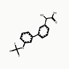 O=C(O)C(O)c1cccc(-c2cccc(OC(F)(F)F)c2)c1